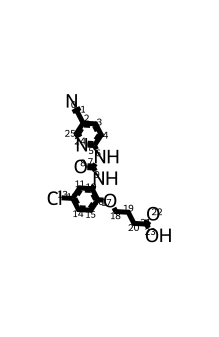 N#Cc1ccc(NC(=O)Nc2cc(Cl)ccc2OCCCC(=O)O)nc1